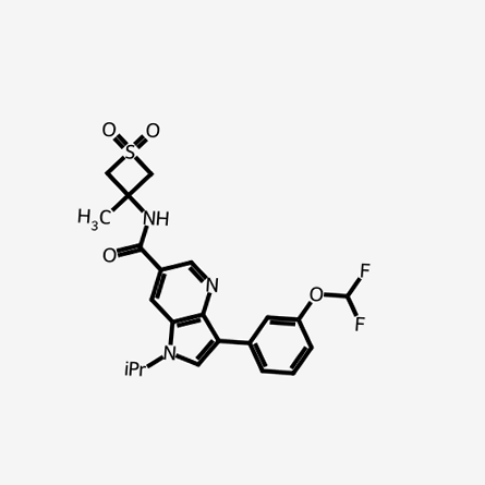 CC(C)n1cc(-c2cccc(OC(F)F)c2)c2ncc(C(=O)NC3(C)CS(=O)(=O)C3)cc21